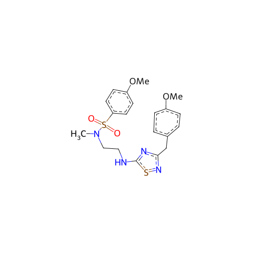 COc1ccc(Cc2nsc(NCCN(C)S(=O)(=O)c3ccc(OC)cc3)n2)cc1